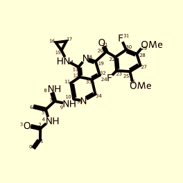 C=CC(=O)NC(=C)C(=N)Nc1cc2c(NC3CC3)nc(C(=O)c3c(F)c(OC)cc(OC)c3F)cc2cn1